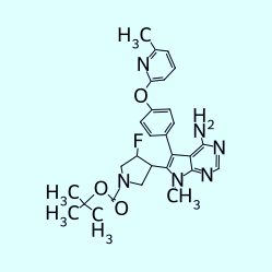 Cc1cccc(Oc2ccc(-c3c(C4CN(C(=O)OC(C)(C)C)CC4F)n(C)c4ncnc(N)c34)cc2)n1